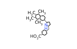 Cc1c(C)c(C)c2cc(-c3ccc(Cc4ccc(C(=O)O)cc4)[nH]3)ccc2c1C